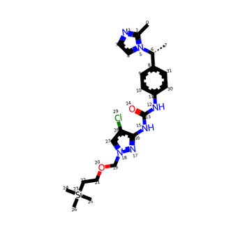 Cc1nccn1[C@H](C)c1ccc(NC(=O)Nc2nn(COCC[Si](C)(C)C)cc2Cl)cc1